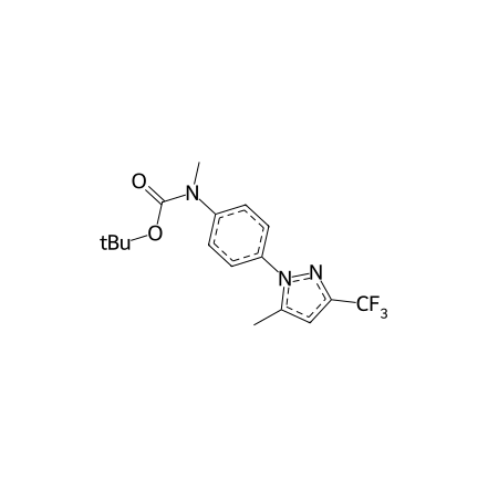 Cc1cc(C(F)(F)F)nn1-c1ccc(N(C)C(=O)OC(C)(C)C)cc1